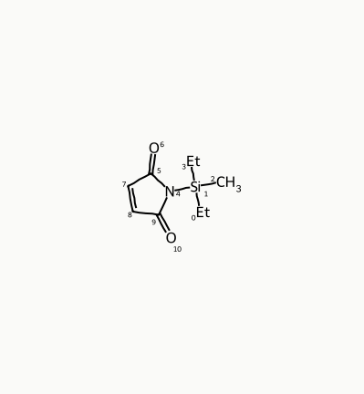 CC[Si](C)(CC)N1C(=O)C=CC1=O